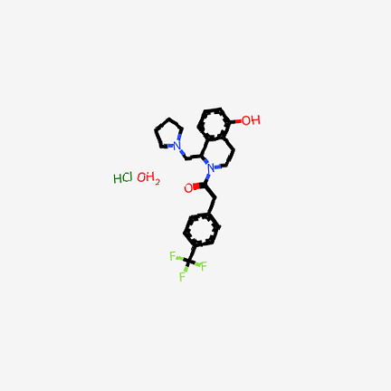 Cl.O.O=C(Cc1ccc(C(F)(F)F)cc1)N1CCc2c(O)cccc2C1CN1CCCC1